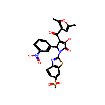 Cc1cc(C(=O)C2=C(O)C(=O)N(c3nc4ccc(S(C)(=O)=O)cc4s3)C2c2cccc([N+](=O)[O-])c2)c(C)o1